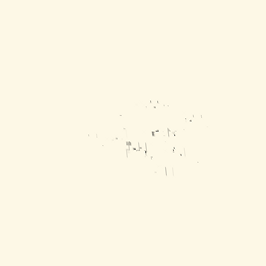 CC(O)C(N)C(=O)O.CSCCC(N)C(=O)O.NCC(=O)O